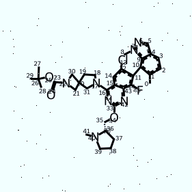 Cc1ccc2cnn(C)c2c1-c1c(Cl)cc2c(N3CCC4(CN(C(=O)OC(C)(C)C)C4)C3)nc(OC[C@@H]3CCCN3C)nc2c1F